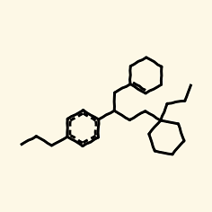 CCCc1ccc(C(CCC2(CCC)CCCCC2)CC2=CCCCC2)cc1